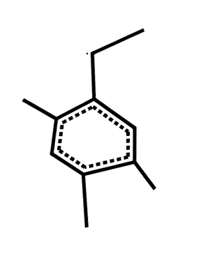 C[CH]c1cc(C)c(C)cc1C